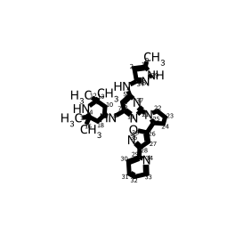 Cc1cc(Nc2cc(NC3CC(C)(C)NC(C)(C)C3)nc(N3CCCC3c3cc(-c4ccccn4)no3)n2)n[nH]1